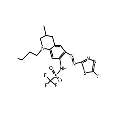 CCCCN1CC(C)Cc2cc(N=Nc3nnc(Cl)s3)c(NS(=O)(=O)C(F)(F)F)cc21